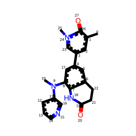 Cc1cc(-c2cc3c(c(N(C)c4cccnc4)c2)NC(=O)CC3)cn(C)c1=O